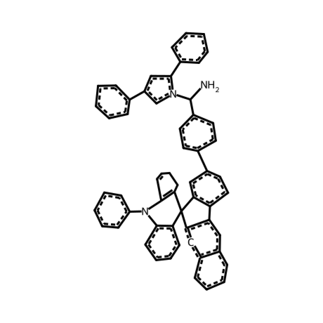 NC(c1ccc(-c2ccc3c(c2)C2(C4=C(C=CCC4)N(c4ccccc4)c4ccccc42)c2cc4ccccc4cc2-3)cc1)n1cc(-c2ccccc2)cc1-c1ccccc1